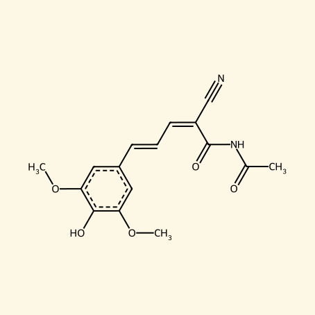 COc1cc(C=CC=C(C#N)C(=O)NC(C)=O)cc(OC)c1O